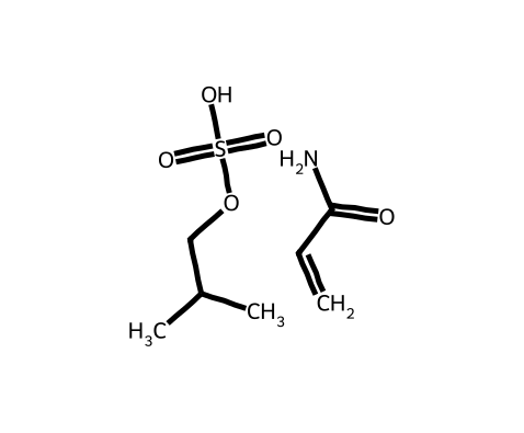 C=CC(N)=O.CC(C)COS(=O)(=O)O